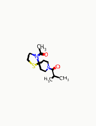 CC(=O)N1CCSC12CCN(C(=O)C(C)C)CC2